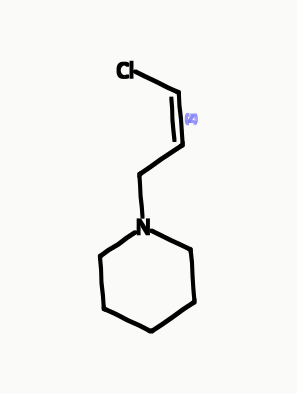 Cl/C=C\CN1CCCCC1